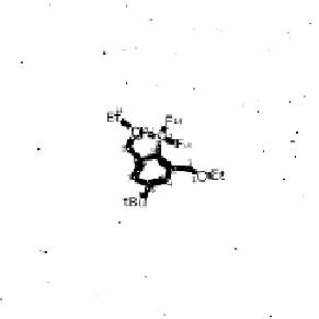 CCOCc1cc(C(C)(C)C)cc(COCC)c1S(F)(F)F